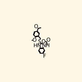 COc1ccc(C(C)=O)cc1CSC1(OC(C)=O)Nc2ccc(F)cc2N1